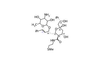 CSCCNC(=O)[C@H]1[C@H](C[C@H](/C=C/C(C)C)OC2OC(C)C(O)C(N)C2O)O[C@](O)(C[C@@H](O)C(C)C)C[C@@H]1O